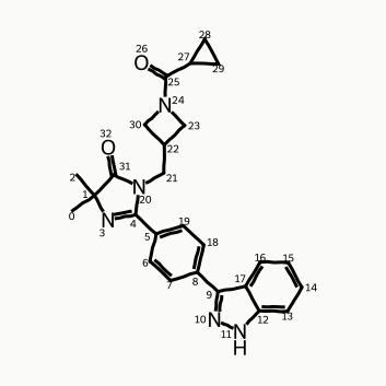 CC1(C)N=C(c2ccc(-c3n[nH]c4ccccc34)cc2)N(CC2CN(C(=O)C3CC3)C2)C1=O